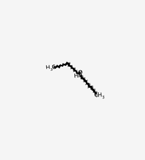 CCCCCCCC/C=C\CCCCCCCC(=O)NCCCCCCCCCCCCCC